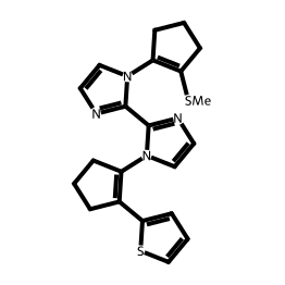 CSC1=C(n2ccnc2-c2nccn2C2=C(c3cccs3)CCC2)CCC1